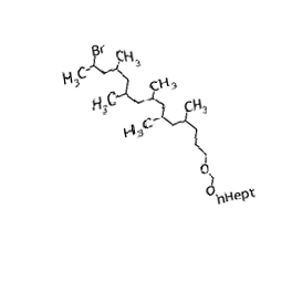 CCCCCCCOCOCCCC(C)CC(C)CC(C)CC(C)CC(C)CC(C)Br